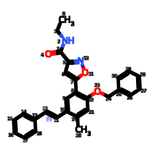 CCNC(=O)c1cc(-c2cc(/C=C/c3ccccc3)c(C)cc2OCc2ccccc2)on1